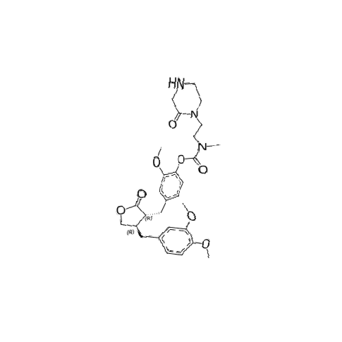 COc1ccc(C[C@H]2COC(=O)[C@@H]2Cc2ccc(OC(=O)N(C)CCN3CCNCC3=O)c(OC)c2)cc1OC